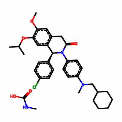 CNC(=O)O.COc1cc2c(cc1OC(C)C)[C@H](c1ccc(Cl)cc1)N(c1ccc(N(C)CC3CCCCC3)cc1)C(=O)C2